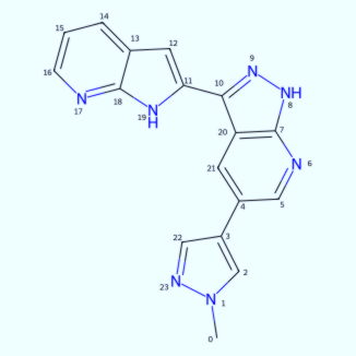 Cn1cc(-c2cnc3[nH]nc(-c4cc5cccnc5[nH]4)c3c2)cn1